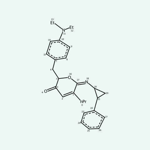 CCCC1=CC(=O)C(Cc2ccc(N(CC)CC)cc2)O/C1=N/C1CC1c1ccccc1